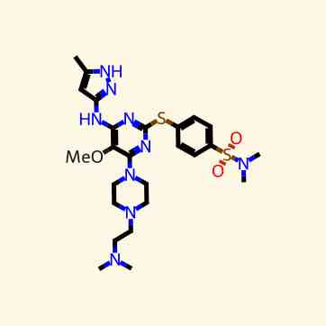 COc1c(Nc2cc(C)[nH]n2)nc(Sc2ccc(S(=O)(=O)N(C)C)cc2)nc1N1CCN(CCN(C)C)CC1